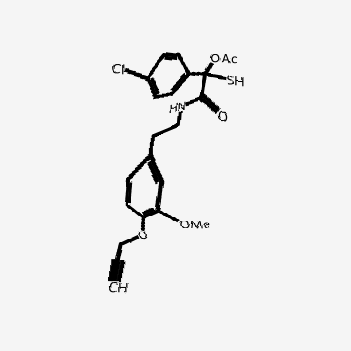 C#CCOc1ccc(CCNC(=O)C(S)(OC(C)=O)c2ccc(Cl)cc2)cc1OC